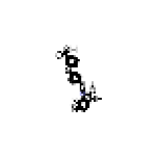 O=C1Nc2ccc3ncsc3c2/C1=C/Nc1ccc(Oc2cccc(C(=O)O)c2)cc1